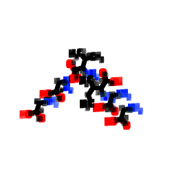 CC(C)C(N)C(=O)O.CCC(C)C(N)C(=O)O.NCC(=O)O.NCC(=O)O.NCC(=O)O.NCC(=O)O